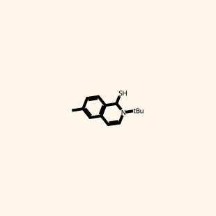 Cc1ccc2c(c1)C=CN(C(C)(C)C)C2S